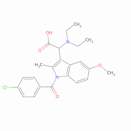 CCN(CC)C(C(=O)O)c1c(C)n(C(=O)c2ccc(Cl)cc2)c2ccc(OC)cc12